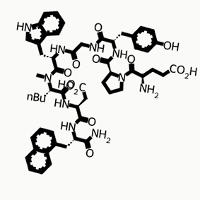 CCCC[C@@H](C(=O)N[C@@H](CC(=O)O)C(=O)N[C@@H](Cc1cccc2ccccc12)C(N)=O)N(C)C(=O)[C@H](Cc1c[nH]c2ccccc12)NC(=O)CNC(=O)[C@H](Cc1ccc(O)cc1)NC(=O)[C@@H]1CCCN1C(=O)[C@H](N)CCC(=O)O